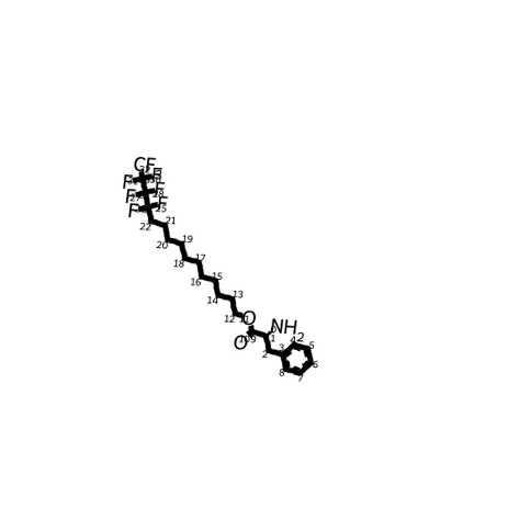 N[C@@H](Cc1ccccc1)C(=O)OCCCCCCCCCCCC(F)(F)C(F)(F)C(F)(F)C(F)(F)F